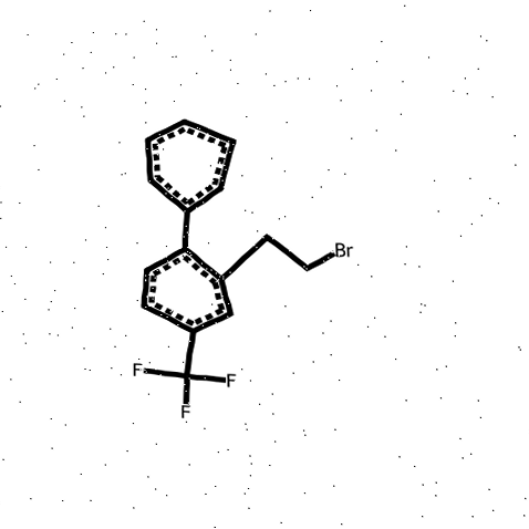 FC(F)(F)c1ccc(-c2ccccc2)c(CCBr)c1